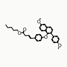 CCCCCOC(=O)CC=Cc1ccc(Oc2c(-c3ccc(OC)cc3)ccc3cc(OC)ccc23)cc1